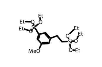 CCO[Si](CCc1cc(OC)cc([Si](OCC)(OCC)OCC)c1)(OCC)OCC